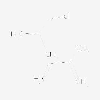 C=CC(=C)C.CC(C)CCl